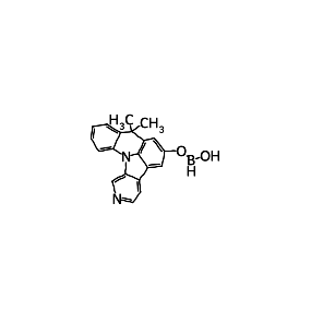 CC1(C)c2ccccc2-n2c3cnccc3c3cc(OBO)cc1c32